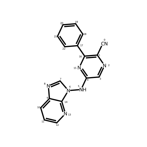 N#Cc1ncc(Nn2cnc3cccnc32)nc1-c1cc[c]cc1